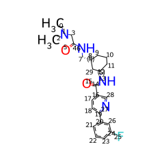 CN(C)CC(=O)NC[C@@H]1CCC[C@H](NC(=O)c2ccc(-c3cccc(F)c3)nc2)C1